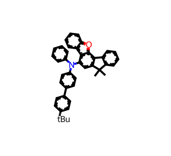 CC(C)(C)c1ccc(-c2ccc(N(c3ccccc3)c3cc4c(c5oc6ccccc6c35)-c3ccccc3C4(C)C)cc2)cc1